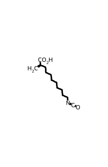 C=C(CCCCCCCCCN=C=O)C(=O)O